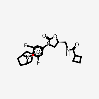 O=C(NC[C@H]1CN(c2cc(F)c(N3C4CCC3C[S+]([O-])C4)c(F)c2)C(=O)O1)C1CCC1